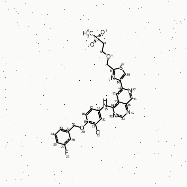 CS(=O)(=O)CCOCc1nc(-c2cc3c(Nc4ccc(OCc5cccc(F)c5)c(Cl)c4)ncnc3cn2)cs1